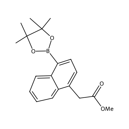 COC(=O)Cc1ccc(B2OC(C)(C)C(C)(C)O2)c2ccccc12